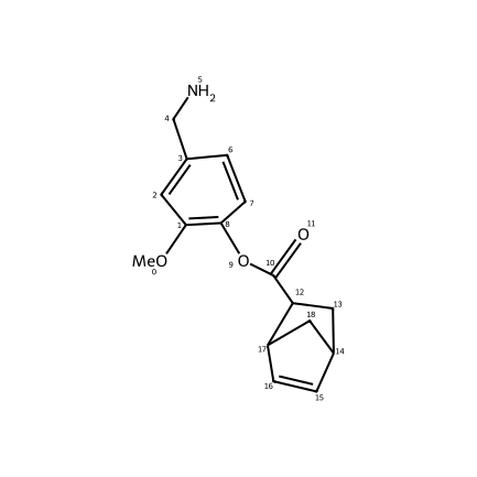 COc1cc(CN)ccc1OC(=O)C1CC2C=CC1C2